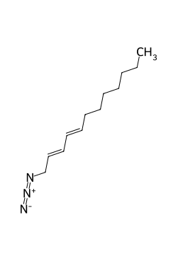 CCCCCCC/C=C/C=C/CN=[N+]=[N-]